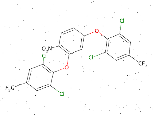 O=[N+]([O-])c1ccc(Oc2c(Cl)cc(C(F)(F)F)cc2Cl)cc1Oc1c(Cl)cc(C(F)(F)F)cc1Cl